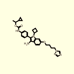 CC(OC(=O)Nc1ccc(-c2c(N)c3ccc(OCCCCn4cncn4)cc3n2C2CCC2)cc1)C1CC1